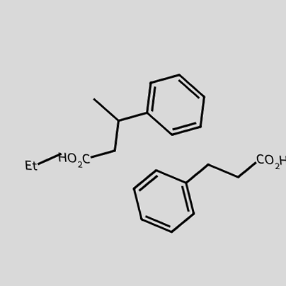 CC(CC(=O)O)c1ccccc1.CCC.O=C(O)CCc1ccccc1